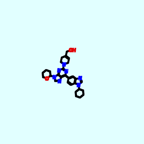 OCC1=CCN(c2nc(-c3ccc4c(c3)ncn4C3CCCCC3)c3ncn(C4CCCCO4)c3n2)CC1